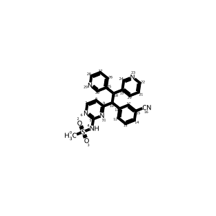 CS(=O)(=O)Nc1nccc(C(c2cccc(C#N)c2)C(c2cccnc2)c2cccnc2)n1